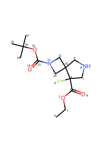 CCOC(=O)C1(F)CNCC12CN(C(=O)OC(C)(C)C)C2